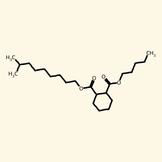 CCCCCOC(=O)C1CCCCC1C(=O)OCCCCCCCC(C)C